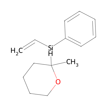 C=C[SiH](c1ccccc1)C1(C)CCCCO1